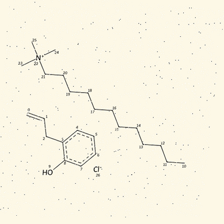 C=CCc1ccccc1O.CCCCCCCCCCCC[N+](C)(C)C.[Cl-]